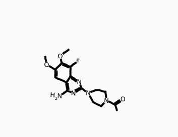 COc1cc2c(N)nc(N3CCN(C(C)=O)CC3)nc2c(F)c1OC